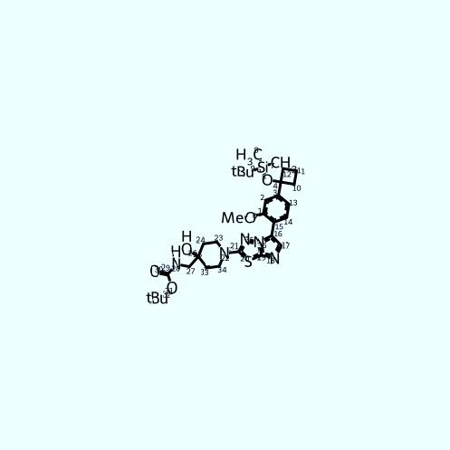 COc1cc(C2(O[Si](C)(C)C(C)(C)C)CCC2)ccc1-c1cnc2sc(N3CCC(O)(CNC(=O)OC(C)(C)C)CC3)nn12